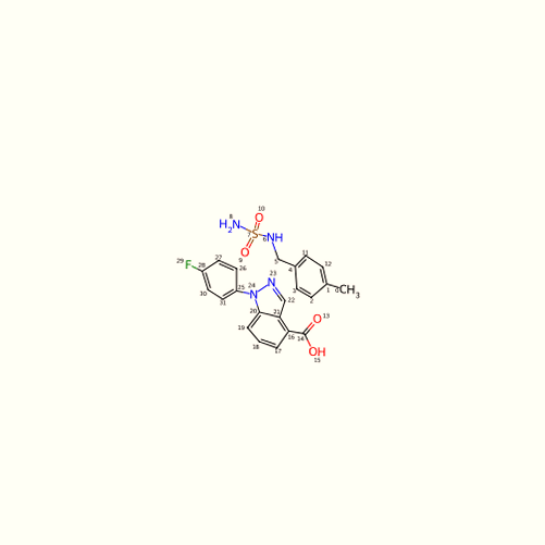 Cc1ccc(CNS(N)(=O)=O)cc1.O=C(O)c1cccc2c1cnn2-c1ccc(F)cc1